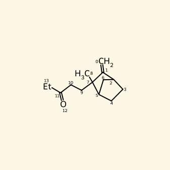 C=C1C2CCC(C2)C1(C)CCC(=O)CC